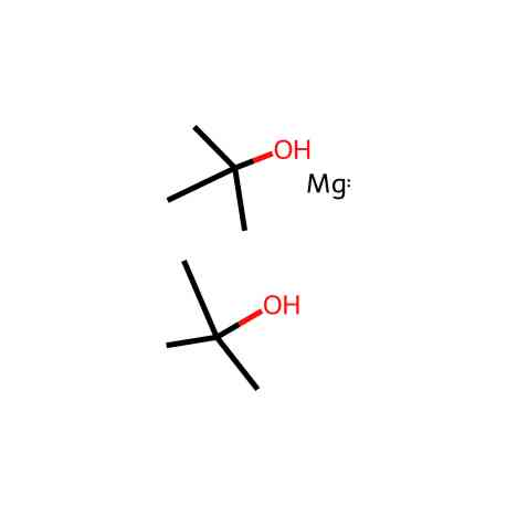 CC(C)(C)O.CC(C)(C)O.[Mg]